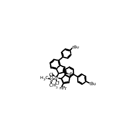 CCCC1=Cc2c(-c3ccc(C(C)(C)C)cc3)cccc2[CH]1[Zr]([Cl])([Cl])([CH]1C(CCC)=Cc2c(-c3ccc(C(C)(C)C)cc3)cccc21)[SiH](C)C